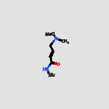 CON(C)C/C=C/C(=O)NC(C)(C)C